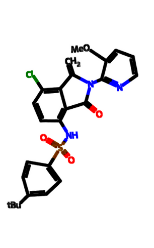 C=C1c2c(Cl)ccc(NS(=O)(=O)c3ccc(C(C)(C)C)cc3)c2C(=O)N1c1ncccc1OC